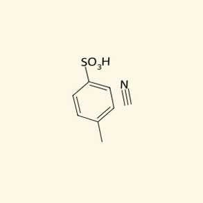 C#N.Cc1ccc(S(=O)(=O)O)cc1